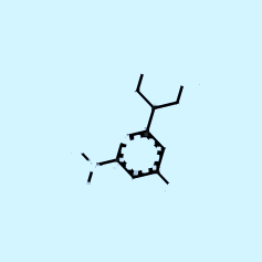 CCC(CC)c1[c]c(C)cc(N(C)C)n1